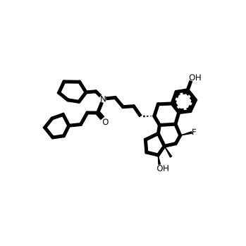 C[C@]12C[C@H](F)C3c4ccc(O)cc4C[C@@H](CCCCN(CC4CCCCC4)C(=O)CCC4CCCCC4)C3C1CC[C@@H]2O